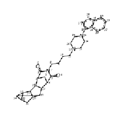 O=C1C2CC(C(=O)N1CCCCN1CCN(c3nsc4ccccc34)CC1)C1C2C2C3CC4C2C4C31